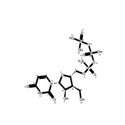 BP(=O)(OC[C@H]1O[C@@H](n2ccc(=O)[nH]c2=O)[C@H](O)[C@@H]1CO)OP(=O)(O)OP(=O)(O)O